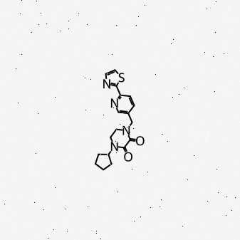 O=C1C(=O)N(C2CCCC2)CCN1Cc1ccc(-c2nccs2)nc1